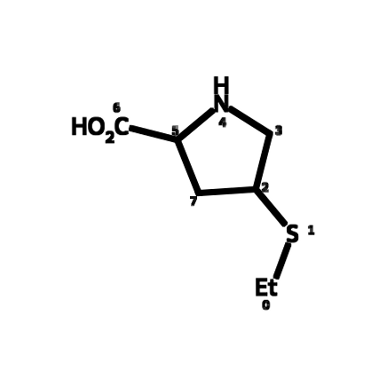 CCSC1CNC(C(=O)O)C1